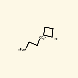 C1CCC1.CCCCCCCC(=O)O.P